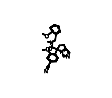 COc1ccccc1CN(C)C(=O)C1(c2ccc(C#N)cc2OC)CCc2cncn21